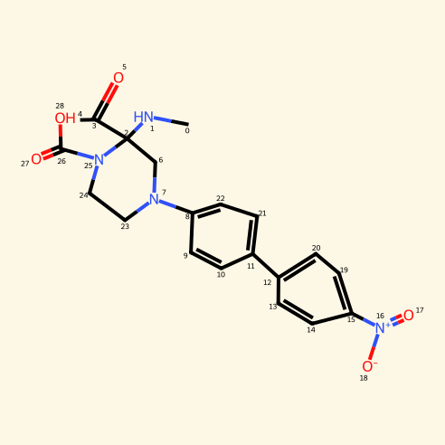 CNC1(C(C)=O)CN(c2ccc(-c3ccc([N+](=O)[O-])cc3)cc2)CCN1C(=O)O